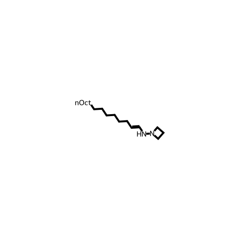 CCCCCCCCCCCCCCC=CNN1CCC1